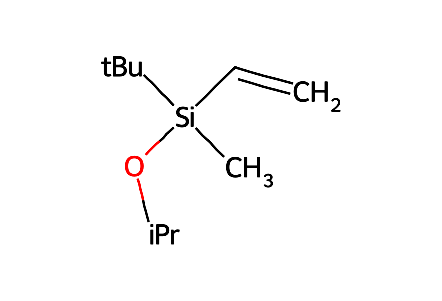 C=C[Si](C)(OC(C)C)C(C)(C)C